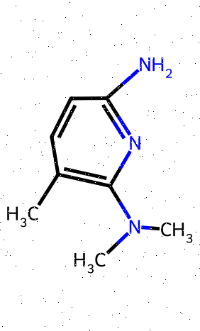 Cc1ccc(N)nc1N(C)C